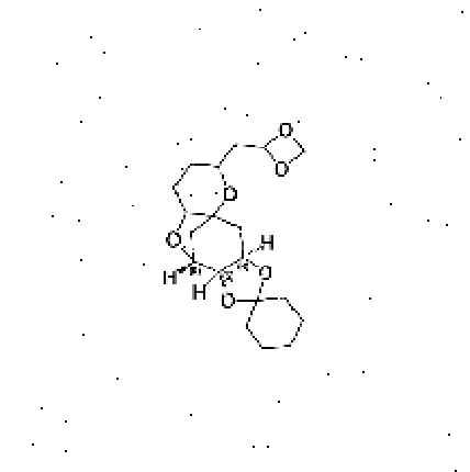 C1CCC2(CC1)O[C@H]1[C@H]3CC4(C[C@H]1O2)OC(CC1OCO1)CCC4O3